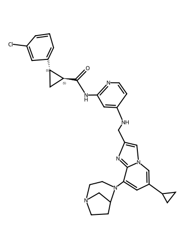 O=C(Nc1cc(NCc2cn3cc(C4CC4)cc(N4CCN5CCC4C5)c3n2)ccn1)[C@H]1C[C@@H]1c1cccc(Cl)c1